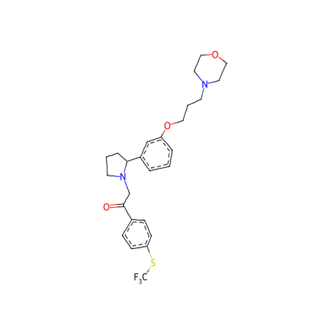 O=C(CN1CCCC1c1cccc(OCCCN2CCOCC2)c1)c1ccc(SC(F)(F)F)cc1